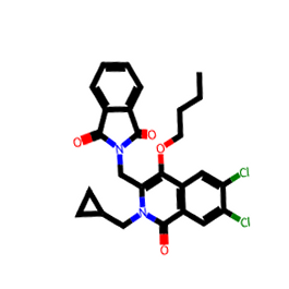 CCCCOc1c(CN2C(=O)c3ccccc3C2=O)n(CC2CC2)c(=O)c2cc(Cl)c(Cl)cc12